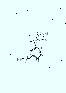 CCOC(=O)c1cc(N[C@@H](C)C(=O)OCC)ccn1